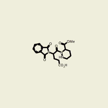 COC(=O)C1CCCNN1C(=O)C(CCC(=O)O)N1C(=O)c2ccccc2C1=O